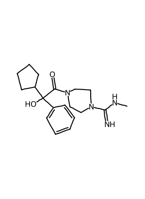 CNC(=N)N1CCN(C(=O)C(O)(c2ccccc2)C2CCCC2)CC1